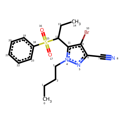 CCCCn1nc(C#N)c(Br)c1C(CC)S(=O)(=O)c1ccccc1